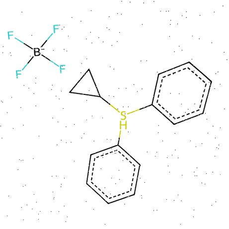 F[B-](F)(F)F.c1ccc([SH](c2ccccc2)C2CC2)cc1